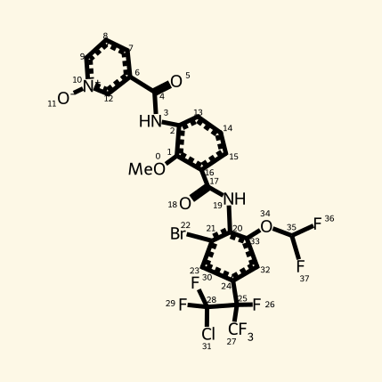 COc1c(NC(=O)c2ccc[n+]([O-])c2)cccc1C(=O)Nc1c(Br)cc(C(F)(C(F)(F)F)C(F)(F)Cl)cc1OC(F)F